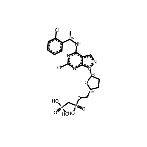 C[C@@H](Nc1nc(Cl)nc2c1cnn2[C@H]1CC[C@@H](COP(=O)(O)CP(=O)(O)O)O1)c1ccccc1Cl